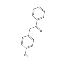 O=C(Cc1ccc(C(F)(F)F)cc1)c1ccccc1